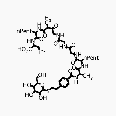 CCCCCC(NC(=O)C(C)NC(=O)c1ccc(CCSC2OC(CO)C(O)C(O)C2O)cc1)C(=O)NCC(=O)NCC(=O)NCC(=O)C(C)C(=O)NC(CCCCC)C(=O)NC(CC(C)C)C(=O)O